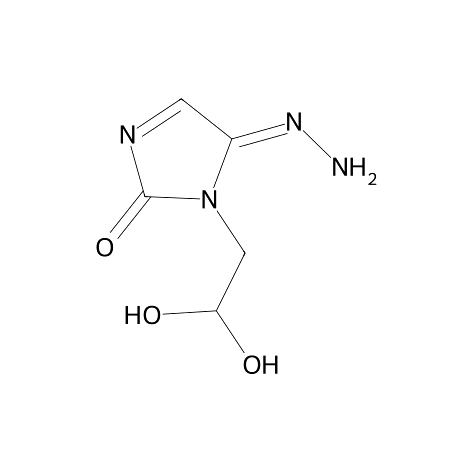 NN=C1C=NC(=O)N1CC(O)O